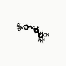 Cc1cc(-c2cc3c(nnn3C)c(C#N)n2)ccc1OCCC1CCN(CCS(C)(=O)=O)CC1